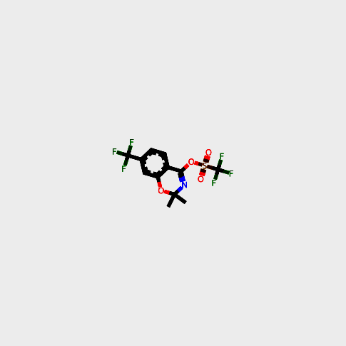 CC1(C)N=C(OS(=O)(=O)C(F)(F)F)c2ccc(C(F)(F)F)cc2O1